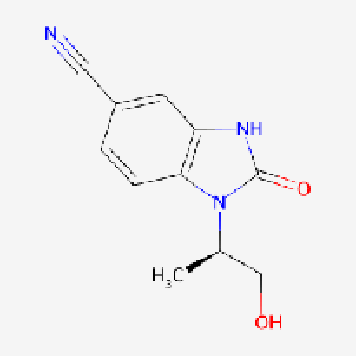 C[C@H](CO)n1c(=O)[nH]c2cc(C#N)ccc21